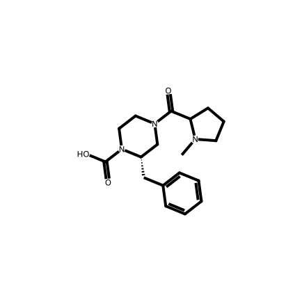 CN1CCCC1C(=O)N1CCN(C(=O)O)[C@@H](Cc2ccccc2)C1